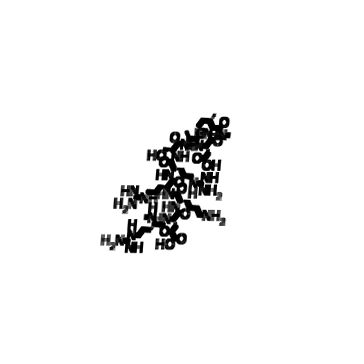 CC[C@H](C)[C@H](NC(=O)[C@H](CC(=O)O)NC(=O)[C@H](C)NC(=O)[C@H](CO)NC(=O)[C@H](CCCNC(=N)N)NC(=O)[C@H](CCCNC(=N)N)NC(=O)[C@H](CCCCN)NC(=O)[C@H](CCC(=O)O)NC(=O)[C@H](CCCNC(=N)N)NC)C(=O)NC